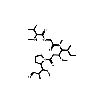 CCC(C)C(C(CC(=O)N1CCCC1C(OC)C(C)C=O)OC)N(C)C(=O)CNC(=O)C(NC)C(C)C